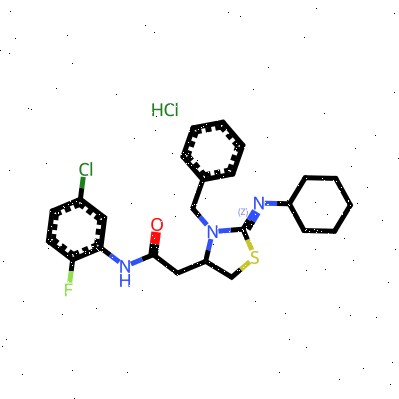 Cl.O=C(CC1CS/C(=N\C2CCCCC2)N1Cc1ccccc1)Nc1cc(Cl)ccc1F